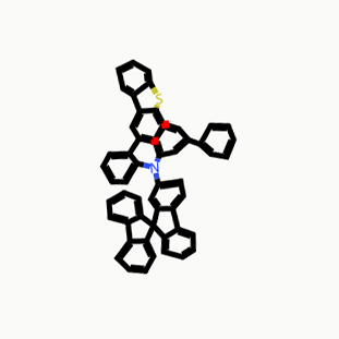 c1ccc(-c2cccc(N(c3ccc4c(c3)C3(c5ccccc5-c5ccccc53)c3ccccc3-4)c3ccccc3-c3ccc4sc5ccccc5c4c3)c2)cc1